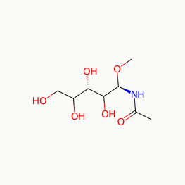 CO[C@@H](NC(C)=O)C(O)[C@@H](O)C(O)CO